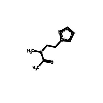 CC(=O)N(C)CCn1c[c]cn1